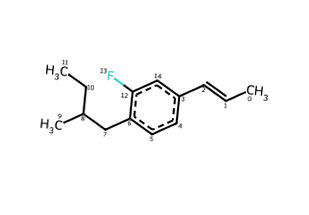 C/C=C/c1ccc(CC(C)CC)c(F)c1